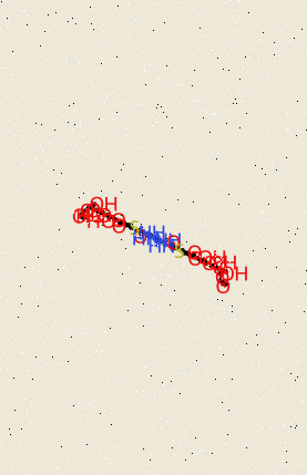 O=C(CCSCCCCC(=O)OCCC(O)COCC(O)COC(CO)COCC1CO1)NCCNCCNCCNC(=O)CCSCCCCC(=O)OCCC(O)COCC(O)COC(CO)COCC1CO1